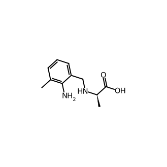 Cc1cccc(CN[C@H](C)C(=O)O)c1N